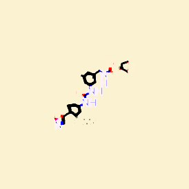 CCc1cc(CNC(=O)O[C@H]2CCOC2)cc(NC(=O)Nc2ccc(-c3cnco3)c(OC)c2)c1